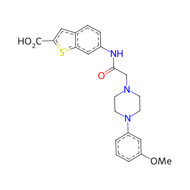 COc1cccc(N2CCN(CC(=O)Nc3ccc4cc(C(=O)O)sc4c3)CC2)c1